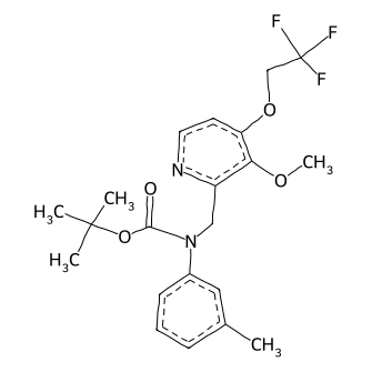 COc1c(OCC(F)(F)F)ccnc1CN(C(=O)OC(C)(C)C)c1cccc(C)c1